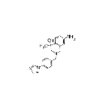 CC1(C)CN(Cc2ccc(-n3ccnc3)cc2)Cc2cc(N)ccc21